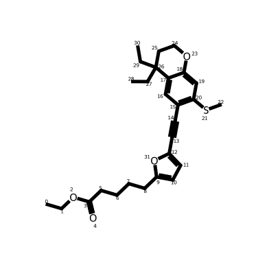 CCOC(=O)CCCCc1ccc(C#Cc2cc3c(cc2SC)OCCC3(CC)CC)o1